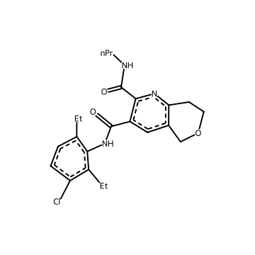 CCCNC(=O)c1nc2c(cc1C(=O)Nc1c(CC)ccc(Cl)c1CC)COCC2